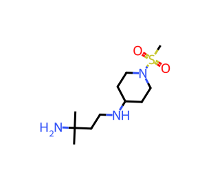 CC(C)(N)CCNC1CCN(S(C)(=O)=O)CC1